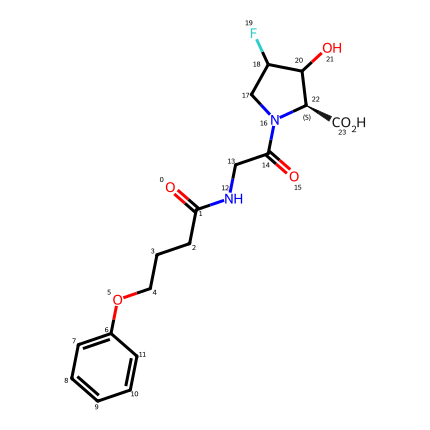 O=C(CCCOc1ccccc1)NCC(=O)N1CC(F)C(O)[C@H]1C(=O)O